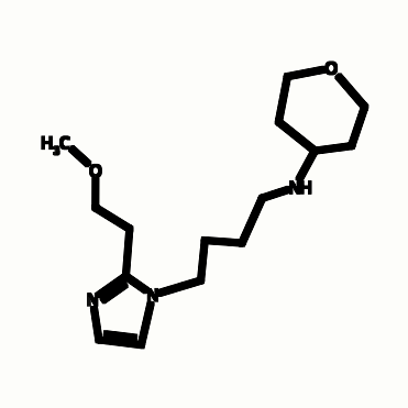 COCCc1nccn1CCCCNC1CCOCC1